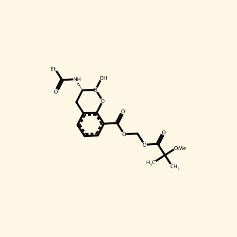 CCC(=O)N[C@H]1Cc2cccc(C(=O)OCOC(=O)C(C)(C)OC)c2OB1O